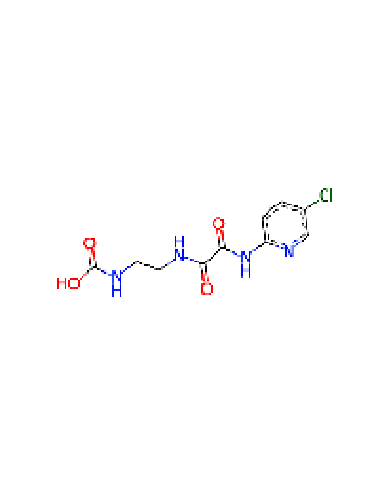 O=C(O)NCCNC(=O)C(=O)Nc1ccc(Cl)cn1